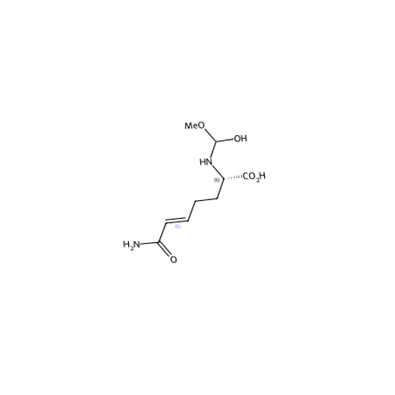 COC(O)N[C@@H](CC/C=C/C(N)=O)C(=O)O